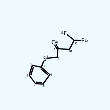 O=C(CSc1ccccc1)CC(F)F